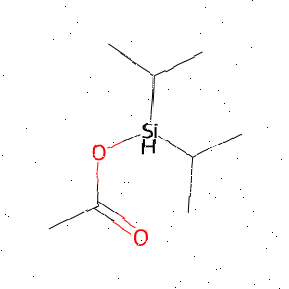 CC(=O)O[SiH](C(C)C)C(C)C